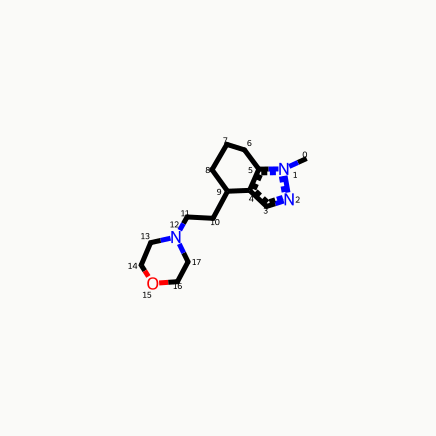 Cn1ncc2c1CCCC2CCN1CCOCC1